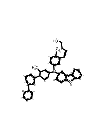 CCC/C=C\c1cc(N(C2=CC(C)C(c3cccc(-c4ccccc4)c3)C=C2)c2ccc3oc4ccccc4c3c2)ccc1C